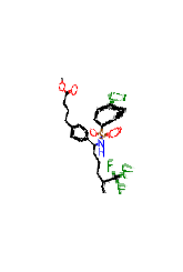 COC(=O)CCCc1ccc(C(CCCC(C)C(F)(F)F)NS(=O)(=O)c2ccc(Cl)cc2)cc1